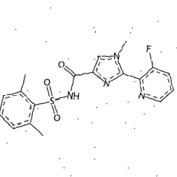 Cc1cccc(C)c1S(=O)(=O)NC(=O)c1cn(C)c(-c2ncccc2F)n1